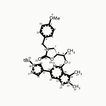 COc1ccc(CN2C[C@H]([C@@H](C)Oc3nc(-c4cnn(C(C)(C)C)c4)cc4nn(C)c(C)c34)OC2=O)cc1